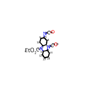 CCOC(=O)N(C1CCC(N=C=O)CC1)C1CCCCC1N=C=O